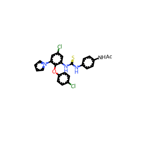 CC(=O)Nc1ccc(NC(=S)Nc2cc(Cl)cc(-n3cccc3)c2Oc2ccc(Cl)cc2)cc1